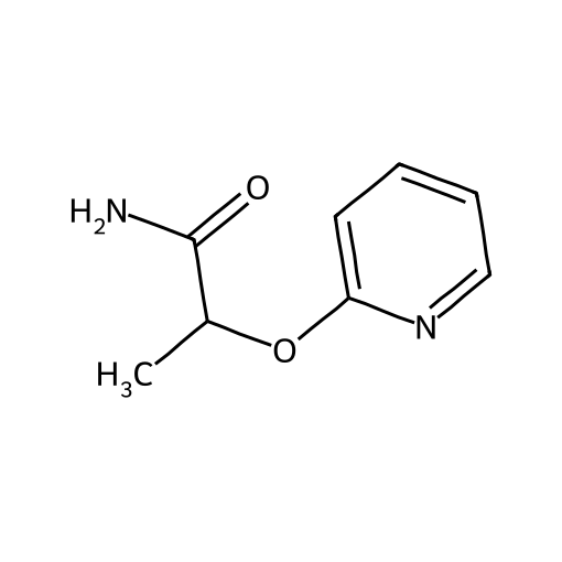 CC(Oc1ccccn1)C(N)=O